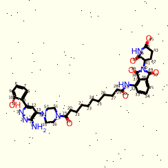 Nc1nnc(-c2ccccc2O)cc1N1CCN(C(=O)CCCCCCCCCC(=O)Nc2cccc3c2C(=O)N(C2CCC(=O)NC2=O)C3=O)CC1